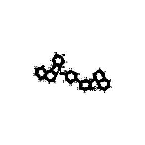 c1cc2c3c(cccc3c1)-c1cc(-c3ccc(-n4c5ccccc5c5c6ccccc6ccc54)cc3)ccc1S2